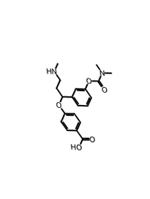 CNCCC(Oc1ccc(C(=O)O)cc1)c1cccc(OC(=O)N(C)C)c1